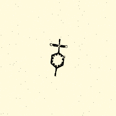 [CH2]c1ccc(S(C)(=O)=O)nc1